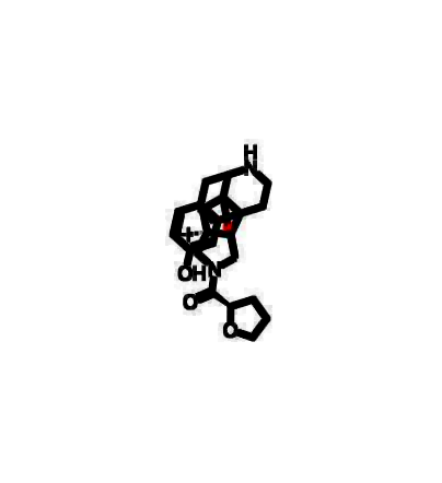 O=C([C@H]1CCCO1)N1C[C@H]2CC34CCC1C2C31CCNC4Cc2ccc(O)cc21